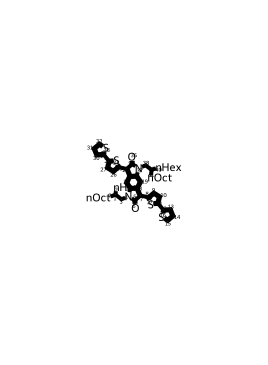 CCCCCCCCC(CCCCCC)CN1C(=O)C(c2ccc(-c3cccs3)s2)=c2cc3c(cc21)=C(c1ccc(-c2cccs2)s1)C(=O)N3CC(CCCCCC)CCCCCCCC